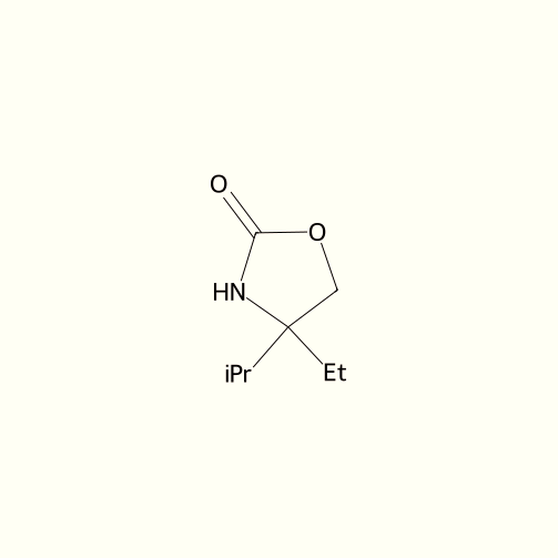 CCC1(C(C)C)COC(=O)N1